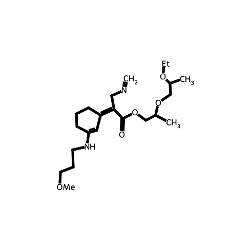 C=NC/C(C(=O)OCC(C)OCC(C)OCC)=C1/C=C(NCCCOC)CCC1